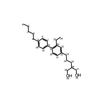 CCCCCc1ccc(-c2ccc(CCCC(CO)CO)cc2CC)cc1